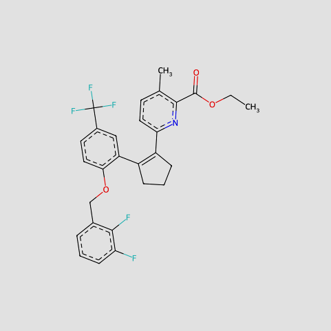 CCOC(=O)c1nc(C2=C(c3cc(C(F)(F)F)ccc3OCc3cccc(F)c3F)CCC2)ccc1C